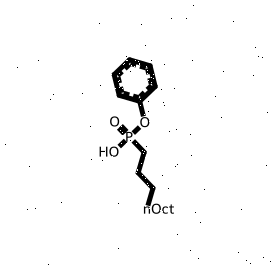 CCCCCCCCCCCP(=O)(O)Oc1ccccc1